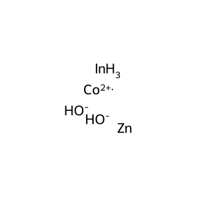 [Co+2].[InH3].[OH-].[OH-].[Zn]